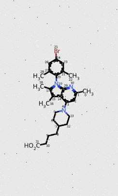 Cc1cc(N2CCC(CCCC(=O)O)CC2)c2c(C)c(C)n(-c3c(C)cc(Br)cc3C)c2n1